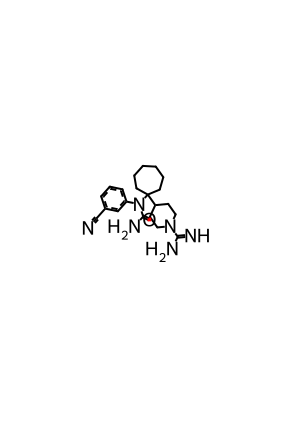 N#Cc1cccc(N(C(N)=O)C2(C3CCN(C(=N)N)CC3)CCCCCC2)c1